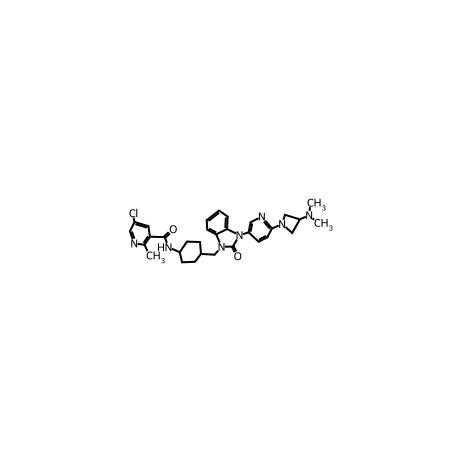 Cc1ncc(Cl)cc1C(=O)NC1CCC(Cn2c(=O)n(-c3ccc(N4CC(N(C)C)C4)nc3)c3ccccc32)CC1